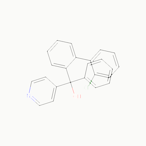 OC(c1ccccc1)(c1ccncc1)c1ccccc1-c1ccccc1Cl